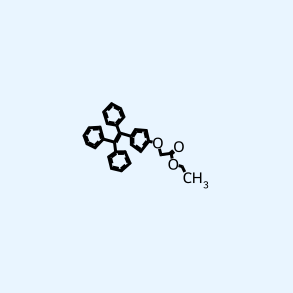 CCOC(=O)COc1ccc(C(=C(c2ccccc2)c2ccccc2)c2ccccc2)cc1